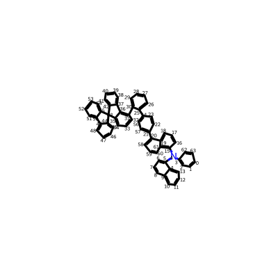 c1ccc(N(c2cccc3ccccc23)c2cccc3c(-c4ccc(-c5ccccc5-c5cccc6c5-c5ccccc5C65c6ccccc6-c6ccccc65)cc4)cccc23)cc1